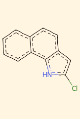 Clc1cc2ccc3ccccc3c2[nH]1